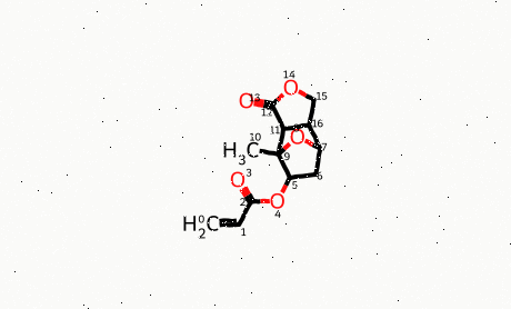 C=CC(=O)OC1CC2OC1(C)C1C(=O)OCC21